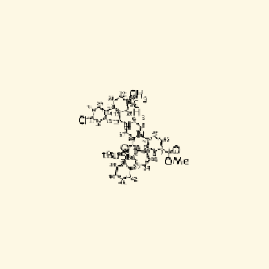 COC(=O)c1ccc(N2CCN(CC3=C(c4ccc(Cl)cc4)CCC(C)(C)C3)C[C@H]2CO[Si](c2ccccc2)(c2ccccc2)C(C)(C)C)cc1